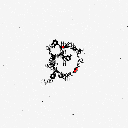 COc1ccc(C[C@@H]2NC(=O)[C@H]([C@@H](C)O)NC(=O)[C@@H]3[C@@H]4CCN3C(=O)[C@H](Cc3c[nH]c5ccc(F)cc35)NC(=O)[C@H](Cc3cccc(c3)CNC(=O)CO4)NC(=O)[C@@H](C)NC(=O)[C@H](CN)NC(=O)CCC(=O)NCc3ccc(cc3)CCNC(=O)[C@]3(C)CCCN3C2=O)cc1